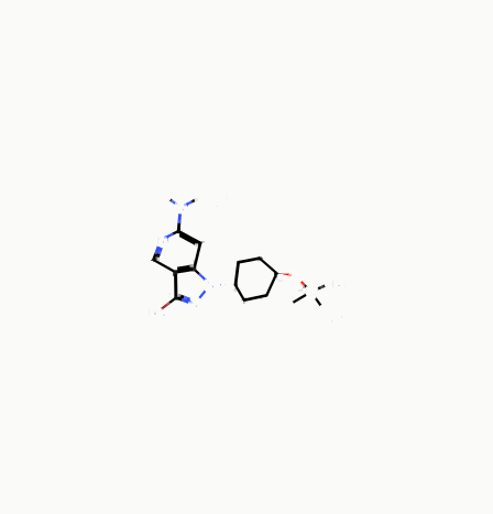 CN(C(=O)O)c1cc2c(cn1)c(Br)nn2[C@H]1CC[C@H](O[Si](C)(C)C(C)(C)C)CC1